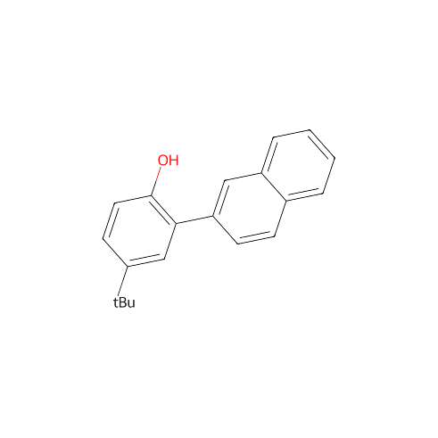 CC(C)(C)c1ccc(O)c(-c2ccc3ccccc3c2)c1